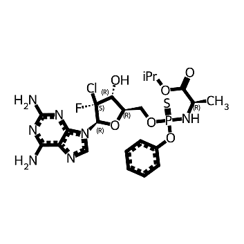 CC(C)OC(=O)[C@@H](C)NP(=S)(OC[C@H]1O[C@@H](n2cnc3c(N)nc(N)nc32)[C@@](F)(Cl)[C@@H]1O)Oc1ccccc1